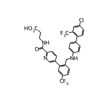 O=C(O)CCNC(=O)c1ccc(-c2cc(C(F)(F)F)ccc2CNc2ccc(-c3ccc(Cl)cc3C(F)(F)F)cc2)cn1